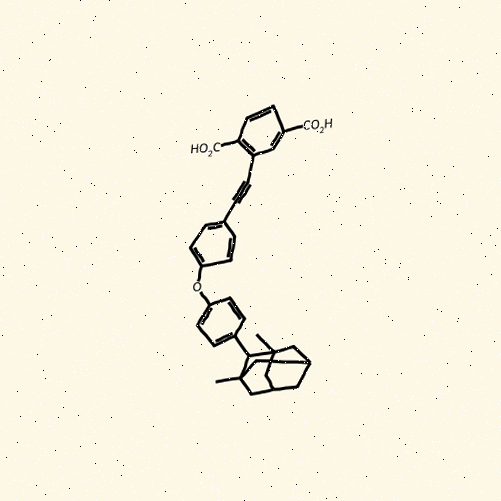 CC12CC3CC(C1)CC(C)(C3)C2c1ccc(Oc2ccc(C#Cc3cc(C(=O)O)ccc3C(=O)O)cc2)cc1